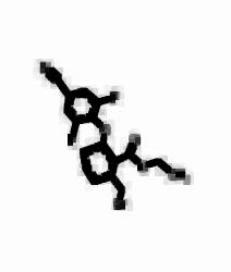 CCOC(=O)c1c(CBr)cccc1Oc1c(F)cc(C#N)cc1F